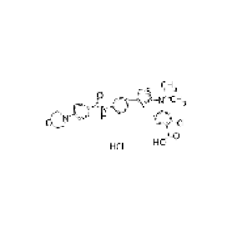 CC(C)N(c1ccc(C(=O)O)c(Cl)c1)c1nc(-c2ccc(NC(=O)c3ccc(N4CCOCC4)cc3)cc2)cs1.Cl